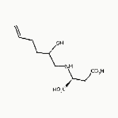 C=CCCC(O)CN[C@@H](CC(=O)O)C(=O)O